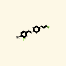 N#Cc1ccc(CC[C@H]2CC[C@H](CC=CF)CC2)cc1F